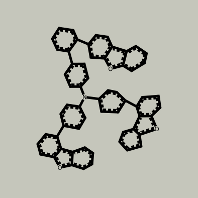 c1ccc(-c2ccc3c(c2)oc2ccccc23)c(-c2ccc(N(c3ccc(-c4cccc5oc6ccccc6c45)cc3)c3ccc(-c4cccc5oc6ccccc6c45)cc3)cc2)c1